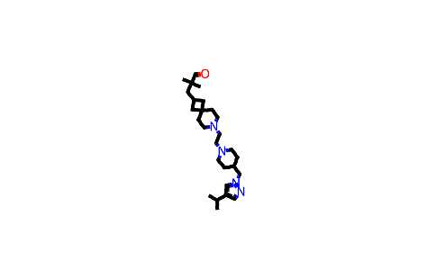 CC(C)c1cnn(CC2CCN(CCN3CCC4(CC3)CC(CC(C)(C)C=O)C4)CC2)c1